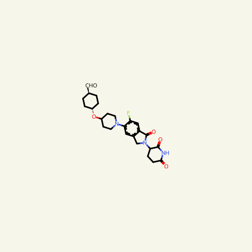 O=C[C@H]1CC[C@H](OC2CCN(c3cc4c(cc3F)C(=O)N(C3CCC(=O)NC3=O)C4)CC2)CC1